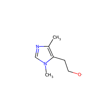 Cc1ncn(C)c1CC[O]